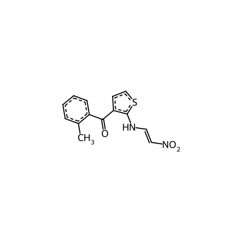 Cc1ccccc1C(=O)c1ccsc1NC=C[N+](=O)[O-]